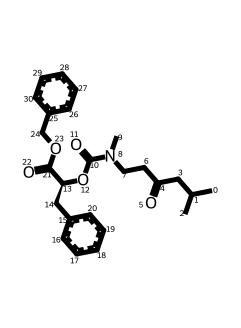 CC(C)CC(=O)CCN(C)C(=O)O[C@@H](Cc1ccccc1)C(=O)OCc1ccccc1